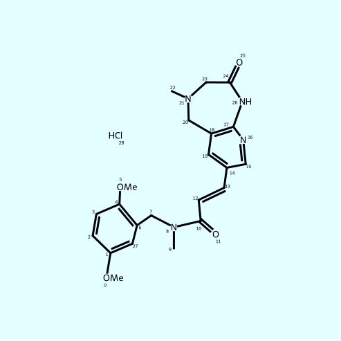 COc1ccc(OC)c(CN(C)C(=O)C=Cc2cnc3c(c2)CN(C)CC(=O)N3)c1.Cl